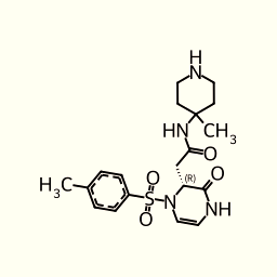 Cc1ccc(S(=O)(=O)N2C=CNC(=O)[C@H]2CC(=O)NC2(C)CCNCC2)cc1